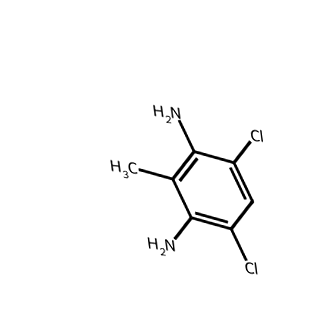 Cc1c(N)c(Cl)cc(Cl)c1N